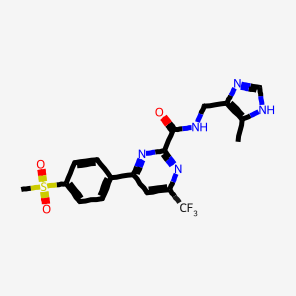 Cc1[nH]cnc1CNC(=O)c1nc(-c2ccc(S(C)(=O)=O)cc2)cc(C(F)(F)F)n1